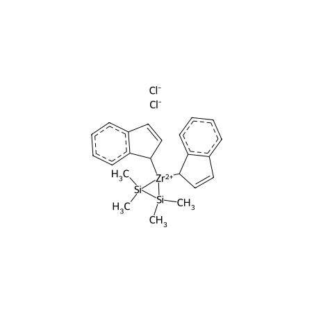 C[Si]1(C)[Si](C)(C)[Zr+2]1([CH]1C=Cc2ccccc21)[CH]1C=Cc2ccccc21.[Cl-].[Cl-]